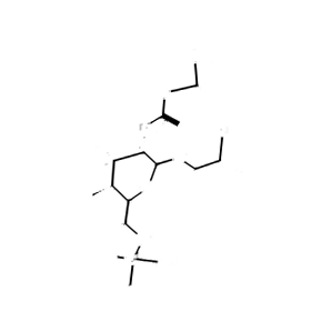 C[C@@H](N)COC1OC(CO[Si](C)(C)C(C)(C)C)[C@@H](O)[C@H](O)[C@@H]1NC(=O)OCC(Cl)(Cl)Cl